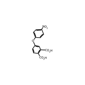 O=C(O)c1ccc(Oc2ccc([N+](=O)[O-])cc2)cc1C(=O)O